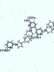 CSNc1ccc(-c2cc(NC(C)C)nc(N3CCOC4(CCOC4)C3)c2)c(N2CCC3(CCC(C4CCN(c5cccc(NC(C)C)n5)C4)O3)CC2)n1